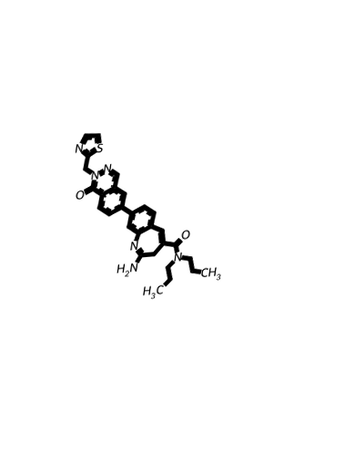 CCCN(CCC)C(=O)C1=Cc2ccc(-c3ccc4c(=O)n(Cc5nccs5)ncc4c3)cc2N=C(N)C1